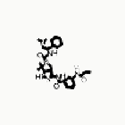 C=CC(=O)Nc1cccc(C(=O)Nc2n[nH]c3c2CN(C(=O)NC(CN(C)C)c2ccccc2)C3(C)C)c1